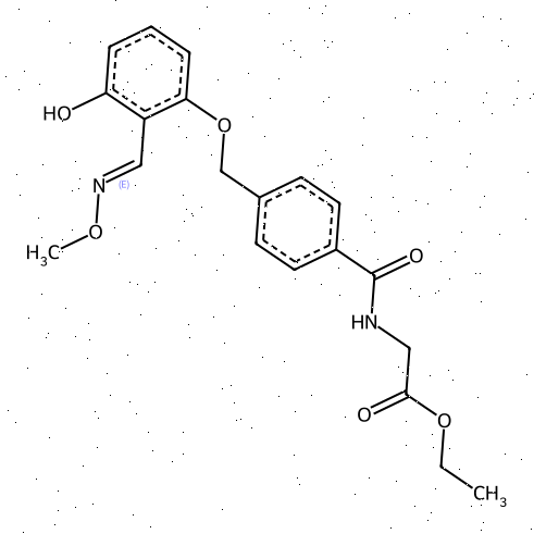 CCOC(=O)CNC(=O)c1ccc(COc2cccc(O)c2/C=N/OC)cc1